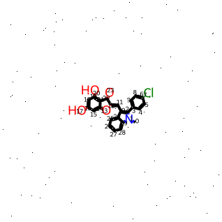 Cn1c(-c2ccc(Cl)cc2)c(C=C2Oc3cc(O)cc(O)c3C2=O)c2ccccc21